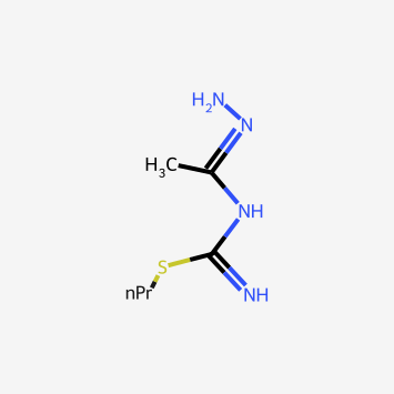 CCCSC(=N)N/C(C)=N/N